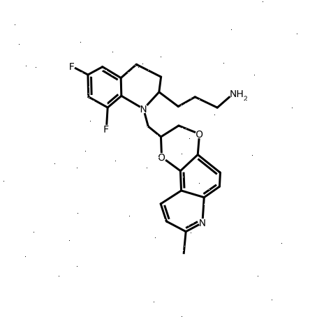 Cc1ccc2c3c(ccc2n1)OCC(CN1c2c(F)cc(F)cc2CCC1CCCN)O3